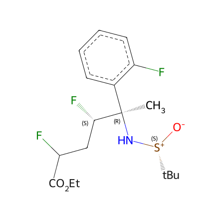 CCOC(=O)C(F)C[C@H](F)[C@](C)(N[S@+]([O-])C(C)(C)C)c1ccccc1F